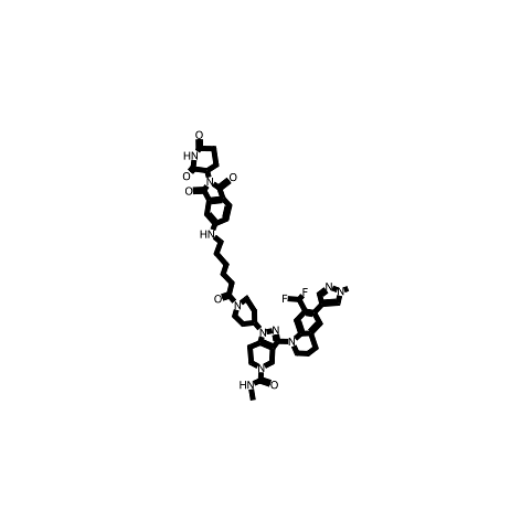 CNC(=O)N1CCc2c(c(N3CCCc4cc(-c5cnn(C)c5)c(C(F)F)cc43)nn2C2CCN(C(=O)CCCCCNc3ccc4c(c3)C(=O)N(C3CCC(=O)NC3=O)C4=O)CC2)C1